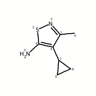 Cc1nsc(N)c1C1CC1